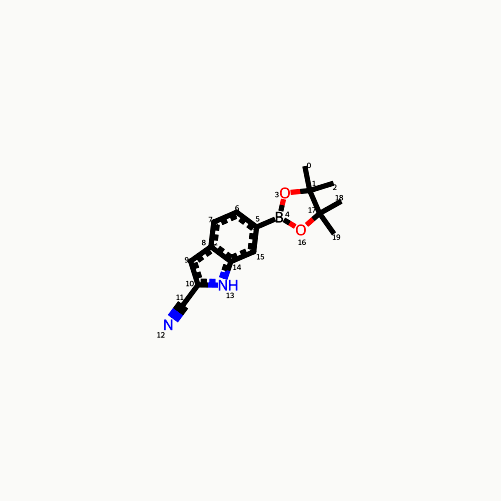 CC1(C)OB(c2ccc3cc(C#N)[nH]c3c2)OC1(C)C